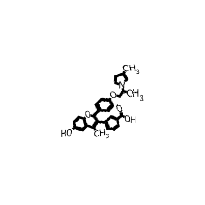 CC1=C(c2cccc(C(=O)O)c2)C(c2ccc(OCC(C)N3CCC(C)C3)cc2)Oc2ccc(O)cc21